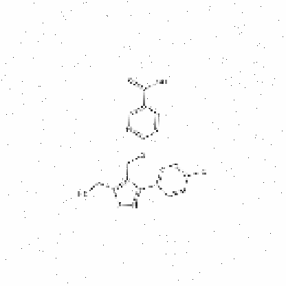 O=C(O)c1ccc(OCc2c(-c3ccc(Cl)cc3)noc2CO)nc1